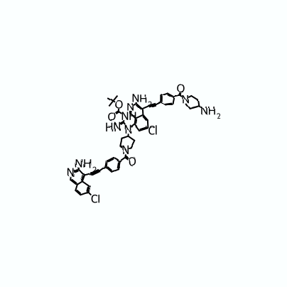 CC(C)(C)OC(=O)NC(=N)N(c1cc(Cl)cc2c(C#Cc3ccc(C(=O)N4CCC(N)CC4)cc3)c(N)ncc12)C1CCN(C(=O)c2ccc(C#Cc3c(N)ncc4ccc(Cl)cc34)cc2)CC1